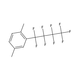 Cc1ccc(C)c(C(F)(F)C(F)(F)C(F)(F)C(F)(F)F)c1